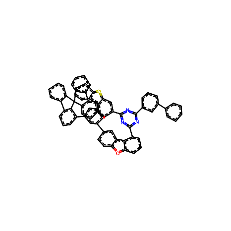 c1ccc(-c2cccc(-c3nc(-c4ccc5c(c4)sc4ccccc45)nc(-c4cccc5oc6ccc(-c7cccc(-c8cccc9c8C8(c%10ccccc%10-c%10ccccc%108)c8ccccc8-9)c7)cc6c45)n3)c2)cc1